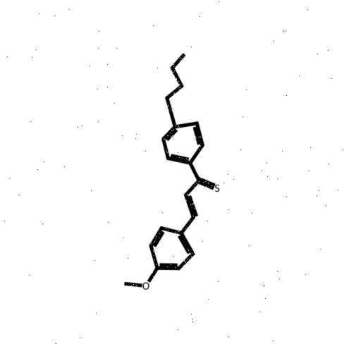 CCCCc1ccc(C(=S)C=Cc2ccc(OC)cc2)cc1